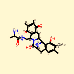 COc1c(C)cc2c(c1O)C1NC(C2)C(O)N2C(CNC(=O)C(C)N)C3=C(CC12)C(=O)C(C)=C(C)C3=O